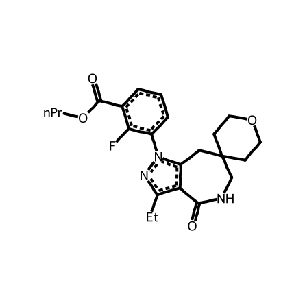 CCCOC(=O)c1cccc(-n2nc(CC)c3c2CC2(CCOCC2)CNC3=O)c1F